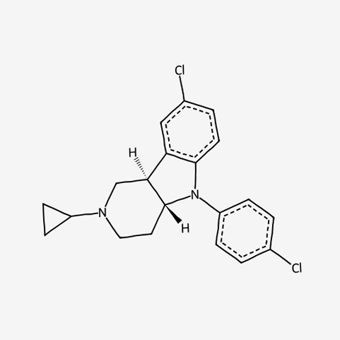 Clc1ccc(N2c3ccc(Cl)cc3[C@@H]3CN(C4CC4)CC[C@H]32)cc1